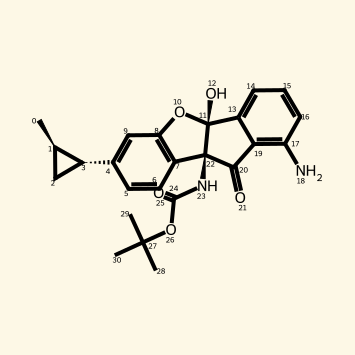 C[C@@H]1C[C@H]1c1ccc2c(c1)O[C@]1(O)c3cccc(N)c3C(=O)[C@]21NC(=O)OC(C)(C)C